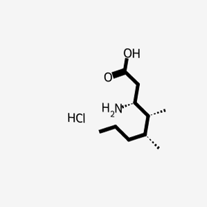 CCC[C@@H](C)[C@@H](C)[C@H](N)CC(=O)O.Cl